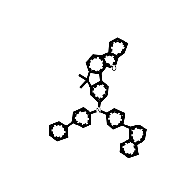 CC1(C)c2cc(N(c3ccc(-c4ccccc4)cc3)c3ccc(-c4cccc5ccccc45)cc3)ccc2-c2c1ccc1c2oc2ccccc21